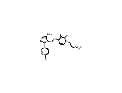 CCc1ccc(-c2nsc(C(F)(F)F)c2COc2ccc(CCC(=O)O)c(C)c2C)cc1